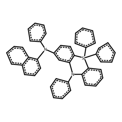 c1ccc(N2c3ccccc3[Si](c3ccccc3)(c3ccccc3)c3ccc(N(c4ccccc4)c4cccc5ccccc45)cc32)cc1